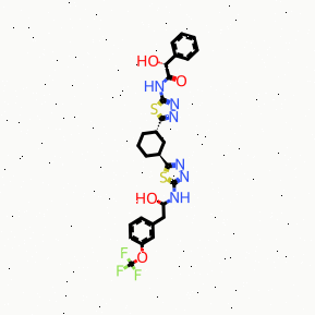 O=C(Nc1nnc([C@H]2CCC[C@H](c3nnc(NC(O)Cc4cccc(OC(F)(F)F)c4)s3)C2)s1)[C@H](O)c1ccccc1